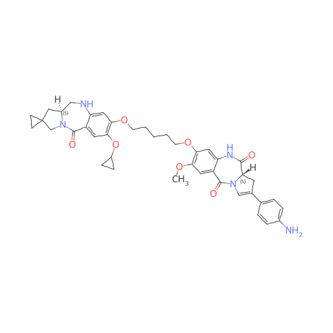 COc1cc2c(cc1OCCCCCOc1cc3c(cc1OC1CC1)C(=O)N1CC4(CC4)C[C@H]1CN3)NC(=O)[C@@H]1CC(c3ccc(N)cc3)=CN1C2=O